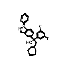 OC(CC1CCCCC1)(c1cc(Cl)cc(Cl)c1)c1ccc2c(cnn2-c2ccccn2)c1